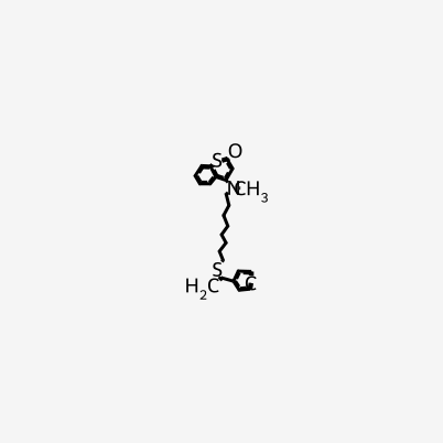 C=C(SCCCCCCCCN(C)c1cc(=O)sc2ccccc12)c1ccccc1